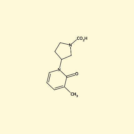 Cc1cccn(C2CCN(C(=O)O)C2)c1=O